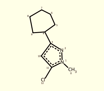 Cn1nc(C2CCCCC2)cc1Cl